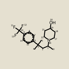 CC(CC(C)(C)c1ccc(C(F)(F)F)cc1)N1CCC(O)CC1